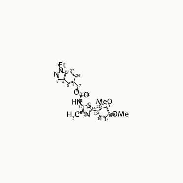 CCn1ncc2cc(COC(=O)Nc3sc(-c4ccc(OC)cc4OC)nc3C)ccc21